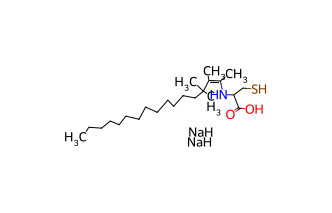 CCCCCCCCCCCCCC(C)(C)C(C)=C(C)NC(CS)C(=O)O.[NaH].[NaH]